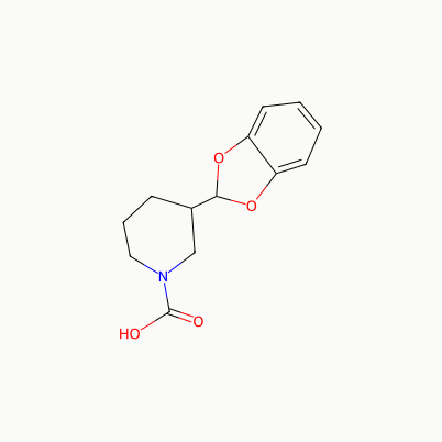 O=C(O)N1CCCC(C2Oc3ccccc3O2)C1